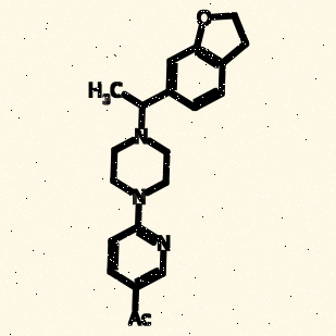 CC(=O)c1ccc(N2CCN(C(C)c3ccc4c(c3)OCC4)CC2)nc1